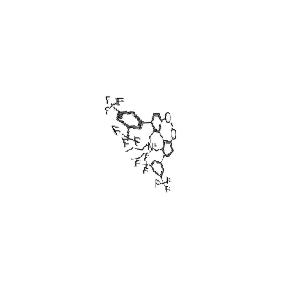 CCCC[N+]1(CCCC)Cc2c(-c3cc(C(F)(F)F)cc(C(F)(F)F)c3)ccc3c2-c2c(ccc(-c4cc(C(F)(F)F)cc(C(F)(F)F)c4)c2C1)OCO3